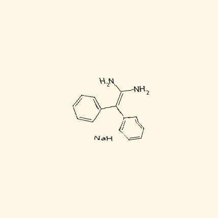 NC(N)=C(c1ccccc1)c1ccccc1.[NaH]